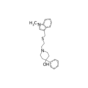 Cn1cc(CSCCN2CCC(O)(c3ccccc3)CC2)c2ccccc21